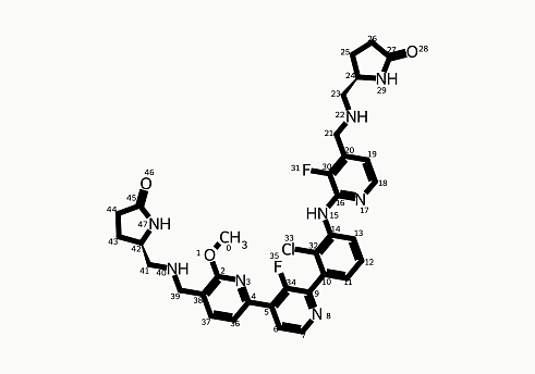 COc1nc(-c2ccnc(-c3cccc(Nc4nccc(CNC[C@H]5CCC(=O)N5)c4F)c3Cl)c2F)ccc1CNC[C@H]1CCC(=O)N1